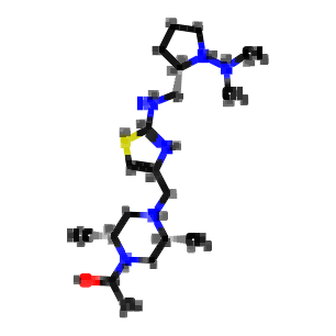 C[C@@H]1CN(C(=O)C(C)(C)C)[C@H](C)CN1Cc1csc(NC[C@@H]2CCCN2N(C)C)n1